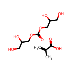 C=C(C)C(=O)O.O=C(OCC(O)CO)OCC(O)CO